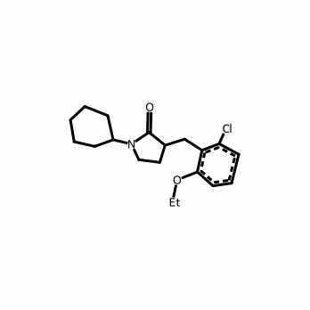 CCOc1cccc(Cl)c1CC1CCN(C2CCCCC2)C1=O